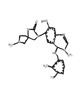 COc1cc2c(cc1N1CC3(CN(C)C3)OC1=O)C(Nc1cccc(Cl)c1C)N(C)C=N2